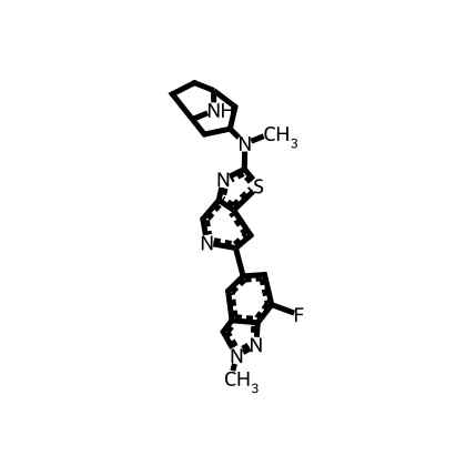 CN(c1nc2cnc(-c3cc(F)c4nn(C)cc4c3)cc2s1)C1CC2CCC(C1)N2